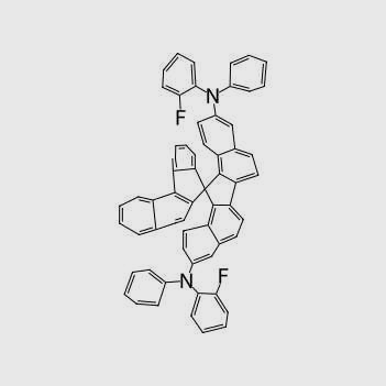 Fc1ccccc1N(c1ccccc1)c1ccc2c3c(ccc2c1)-c1ccc2cc(N(c4ccccc4)c4ccccc4F)ccc2c1C31c2ccccc2-c2c1ccc1ccccc21